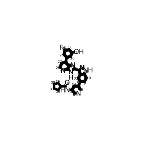 O=C(Nc1cncc(-c2ccc3[nH]nc(-c4nc5c(-c6cc(O)cc(F)c6)ccnc5[nH]4)c3c2)c1)C1CCCC1